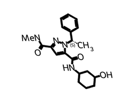 CNC(=O)c1cc(C(=O)NC2CCCC(O)C2)n([C@@H](C)c2ccccc2)n1